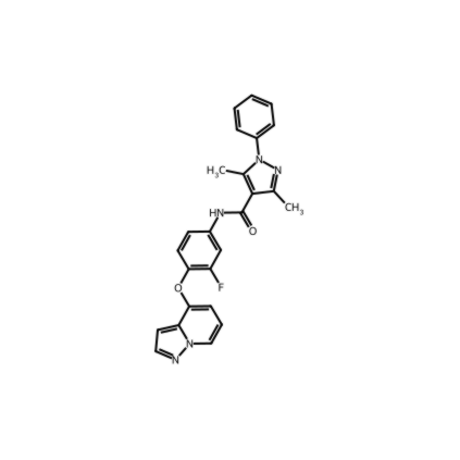 Cc1nn(-c2ccccc2)c(C)c1C(=O)Nc1ccc(Oc2cccn3nccc23)c(F)c1